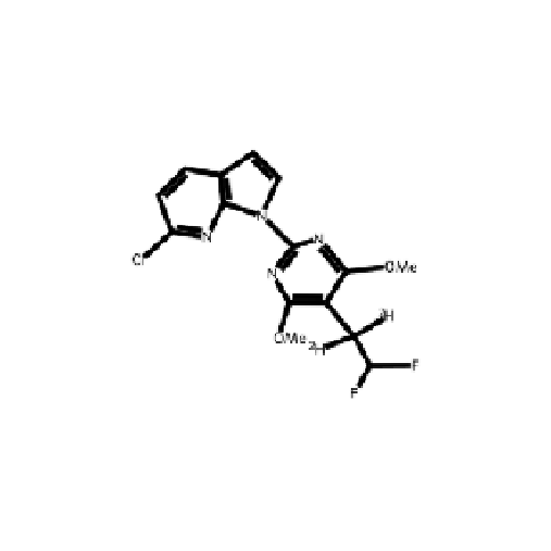 [2H]C([2H])(c1c(OC)nc(-n2ccc3ccc(Cl)nc32)nc1OC)C(F)F